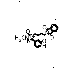 Cn1nc(-c2cccc(O)c2)n(CCCCN2C(=O)c3ccccc3C2=O)c1=O